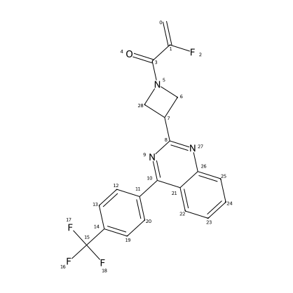 C=C(F)C(=O)N1CC(c2nc(-c3ccc(C(F)(F)F)cc3)c3ccccc3n2)C1